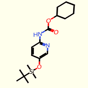 CC(C)(C)[Si](C)(C)Oc1ccc(NC(=O)OC2CCCCC2)nc1